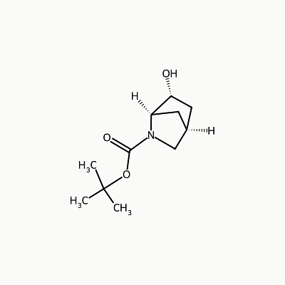 CC(C)(C)OC(=O)N1C[C@@H]2C[C@@H](O)[C@H]1C2